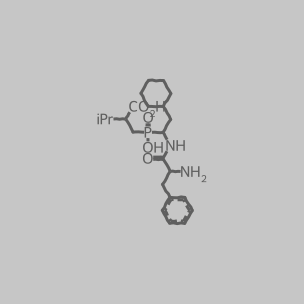 CC(C)C(CP(=O)(O)C(CC1CCCCC1)NC(=O)C(N)Cc1ccccc1)C(=O)O